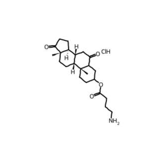 C[C@]12CCC(OC(=O)CCCN)CC1C(=O)C[C@@H]1[C@H]2CC[C@]2(C)C(=O)CC[C@@H]12.Cl